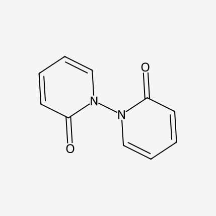 O=c1ccccn1-n1ccccc1=O